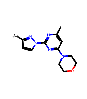 Cc1cc(N2CCOCC2)nc(-n2ccc(C(F)(F)F)n2)n1